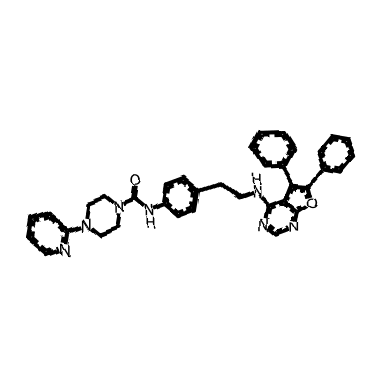 O=C(Nc1ccc(CCNc2ncnc3oc(-c4ccccc4)c(-c4ccccc4)c23)cc1)N1CCN(c2ccccn2)CC1